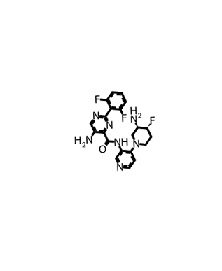 Nc1cnc(-c2c(F)cccc2F)nc1C(=O)Nc1cnccc1N1CC[C@@H](F)[C@H](N)C1